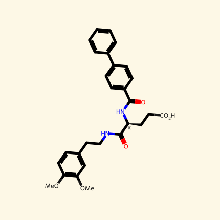 COc1ccc(CCNC(=O)[C@H](CCC(=O)O)NC(=O)c2ccc(-c3ccccc3)cc2)cc1OC